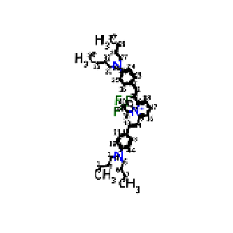 CCCCN(CCCC)c1ccc(/C=C/c2cccc(/C=C/c3ccc(N(CCCC)CCCC)cc3)[n+]2CC(F)(F)F)cc1